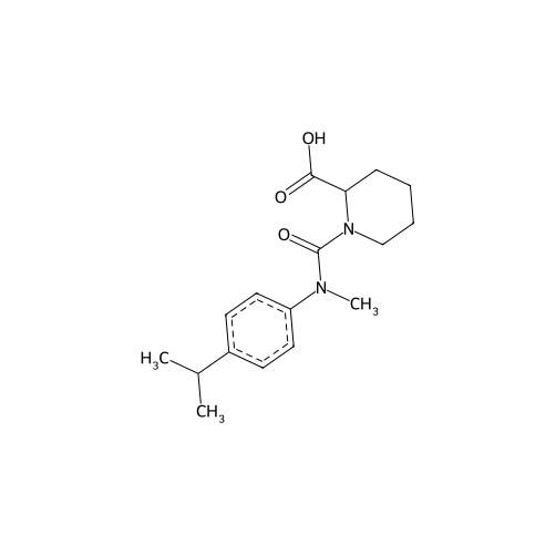 CC(C)c1ccc(N(C)C(=O)N2CCCCC2C(=O)O)cc1